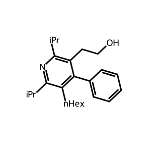 CCCCCCc1c(C(C)C)nc(C(C)C)c(CCO)c1-c1ccccc1